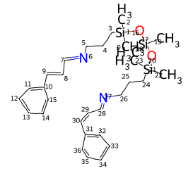 C[Si](C)(CCCN=CC=Cc1ccccc1)O[Si](C)(C)O[Si](C)(C)CCCN=CC=Cc1ccccc1